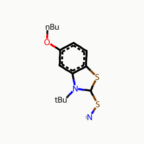 CCCCOc1ccc2c(c1)N(C(C)(C)C)C(S[N])S2